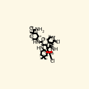 CC1(C)CCC2(CC1)N[C@@H](C(=O)N[C@@H]1CCC(C)(C(N)=O)OC1)[C@H](c1ccnc(Cl)c1F)[C@]21C(=O)Nc2cc(Cl)ccc21